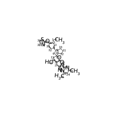 CCc1cc(CCC2(C3CCCC3)CC(O)=C(Cc3nc4nc(C)cc(C)n4n3)C(=O)O2)ccc1Oc1nccs1